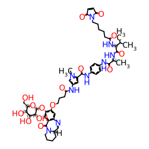 CC(C)[C@H](NC(=O)CCCCCN1C(=O)C=CC1=O)C(=O)N[C@@H](C)C(=O)Nc1ccc(NC(=O)c2cc(NC(=O)CCCOc3cc4c(cc3O[C@@H]3O[C@H](CO)[C@@H](O)[C@H](O)[C@H]3O)C(=O)N3CCCC[C@H]3C=N4)cn2C)cc1